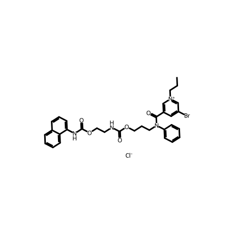 CCC[n+]1cc(Br)cc(C(=O)N(CCCOC(=O)NCCOC(=O)Nc2cccc3ccccc23)c2ccccc2)c1.[Cl-]